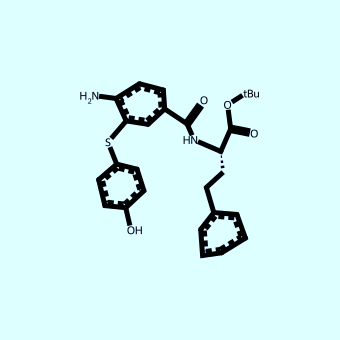 CC(C)(C)OC(=O)[C@H](CCc1ccccc1)NC(=O)c1ccc(N)c(Sc2ccc(O)cc2)c1